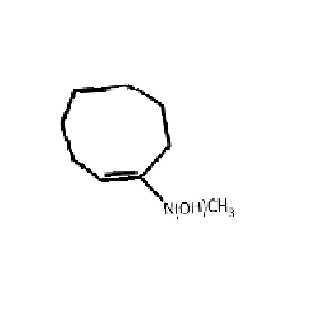 CN(O)C1=CCCCCCC1